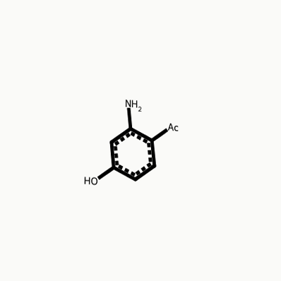 CC(=O)c1ccc(O)cc1N